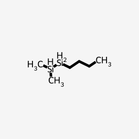 CCCC[SiH2][SiH](C)C